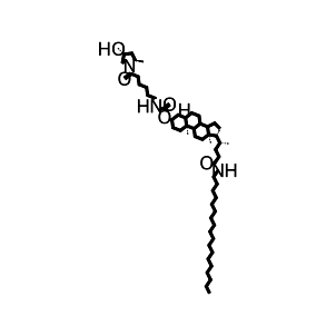 CCCCCCCCCCCCCCCCCCNC(=O)CC[C@@H](C)[C@H]1CCC2C3CC[C@@H]4C[C@H](OC(=O)NCCCCCC(=O)N5C[C@H](O)C[C@H]5C)CC[C@]4(C)C3CC[C@@]21C